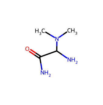 CN(C)C(N)C(N)=O